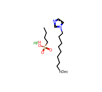 CCCCCCCCCCCCCCCCCCn1ccnc1.CCCCS(=O)(=O)O.F